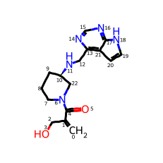 C=C(CO)C(=O)N1CCC[C@@H](NCc2ncnc3[nH]ccc23)C1